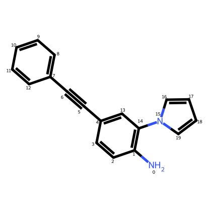 Nc1ccc(C#Cc2ccccc2)cc1-n1cccc1